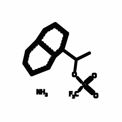 CC(OS(=O)(=O)C(F)(F)F)c1cccc2ccccc12.N